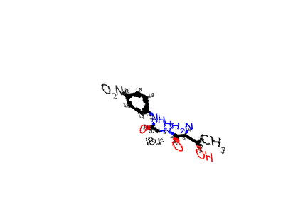 CC[C@H](C)[C@H](NC(=O)[C@@H](N)[C@@H](C)O)C(=O)Nc1ccc([N+](=O)[O-])cc1